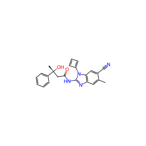 Cc1cc2nc(NC(=O)C[C@@](C)(O)c3ccccc3)n(C3=CC=C3)c2cc1C#N